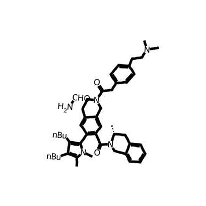 CCCCc1c(CCCC)c(-c2cc3c(cc2C(=O)N2Cc4ccccc4C[C@H]2C)CN(C(=O)Cc2ccc(CCN(C)C)cc2)CC3)n(C)c1C.NC=O